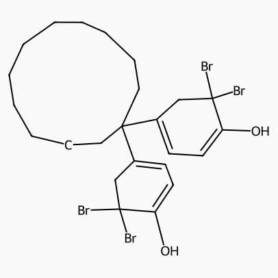 OC1=CC=C(C2(C3=CC=C(O)C(Br)(Br)C3)CCCCCCCCCCC2)CC1(Br)Br